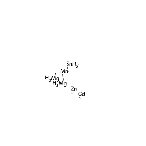 [Gd].[MgH2].[MgH2].[Mn].[SnH2].[Zn]